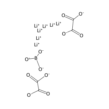 O=C([O-])C(=O)[O-].O=C([O-])C(=O)[O-].[Li+].[Li+].[Li+].[Li+].[Li+].[Li+].[Li+].[O-]B([O-])[O-]